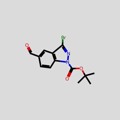 CC(C)(C)OC(=O)n1nc(Br)c2cc(C=O)ccc21